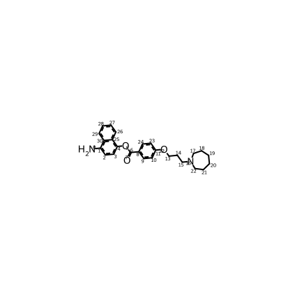 Nc1ccc(OC(=O)c2ccc(OCCCN3CCCCCC3)cc2)c2ccccc12